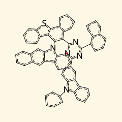 c1ccc(-n2c3ccccc3c3cc(-c4nc(-c5cccc6ccccc56)nc(-c5c(-n6c7ccccc7c7cc8ccccc8cc76)c6c7ccccc7sc6c6ccccc56)n4)ccc32)cc1